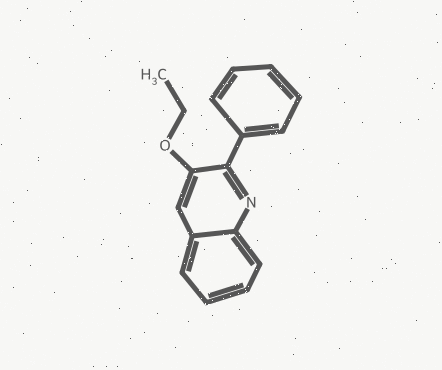 CCOc1cc2ccccc2nc1-c1ccccc1